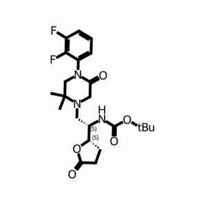 CC(C)(C)OC(=O)N[C@@H](CN1CC(=O)N(c2cccc(F)c2F)CC1(C)C)[C@@H]1CCC(=O)O1